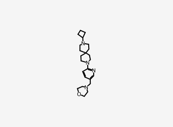 c1cc(N2CCC3(CC2)CCN(C2CCC2)CC3)ncc1CN1CCOCC1